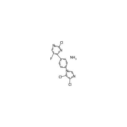 Fc1cnc(Cl)nc1-c1ccc(-n2cnc(Cl)c2Cl)cc1.N